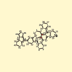 C1=CC=c2c(n(-c3ccccc3-c3ccc4c(c3)c3cnccc3n4-c3ccccc3)c3ccc(-n4c5c(c6ccccc64)=C=CC=5)cc23)=CC=1